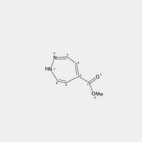 COC(=O)C1=CC=NNC=C1